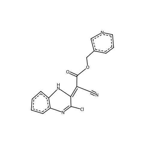 N#C/C(C(=O)OCc1cccnc1)=C1/Nc2ccccc2N=C1Cl